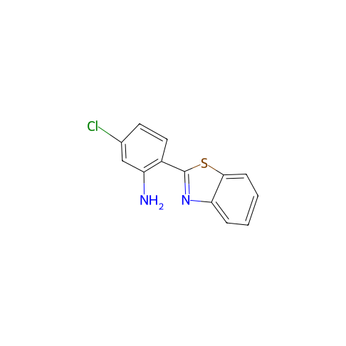 Nc1cc(Cl)ccc1-c1nc2ccccc2s1